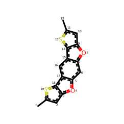 Cc1cc2oc3cc4oc5cc(C)sc5c4cc3c2s1